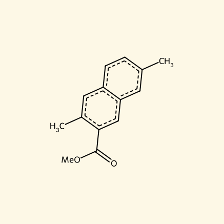 COC(=O)c1cc2cc(C)ccc2cc1C